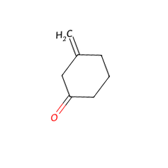 C=C1CCCC(=O)C1